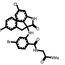 CNC(=O)CNC(=O)c1ccc(Br)cc1NC1(Cc2cccc(Cl)c2)C(=O)Nc2cc(Cl)ccc21